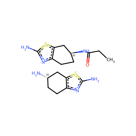 CCC(=O)N[C@H]1CCc2nc(N)sc2C1.Nc1nc2c(s1)C[C@@H](N)CC2